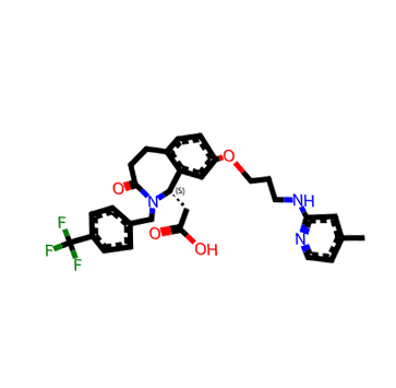 Cc1ccnc(NCCCOc2ccc3c(c2)[C@H](CC(=O)O)N(Cc2ccc(C(F)(F)F)cc2)C(=O)CC3)c1